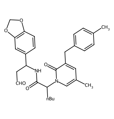 CCCCC(C(=O)NC(CC=O)c1ccc2c(c1)OCO2)n1cc(C)cc(Cc2ccc(C)cc2)c1=O